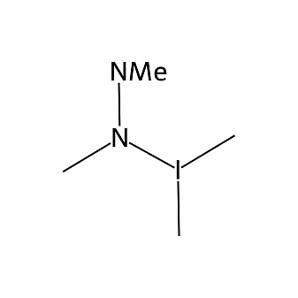 CNN(C)I(C)C